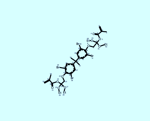 C=C(C)C(=O)OC(COc1c(Br)cc(C(C)(C)c2cc(Br)c(OCC(OCC)(OCC)OC(=O)C(=C)C)c(Br)c2)cc1Br)(OCC)OCC